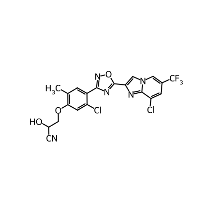 Cc1cc(-c2noc(-c3cn4cc(C(F)(F)F)cc(Cl)c4n3)n2)c(Cl)cc1OCC(O)C#N